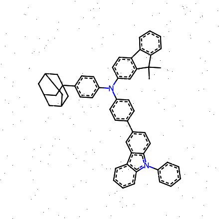 CC1(C)c2ccccc2-c2ccc(N(c3ccc(-c4ccc5c(c4)c4ccccc4n5-c4ccccc4)cc3)c3ccc(C45CC6CC(CC(C6)C4)C5)cc3)cc21